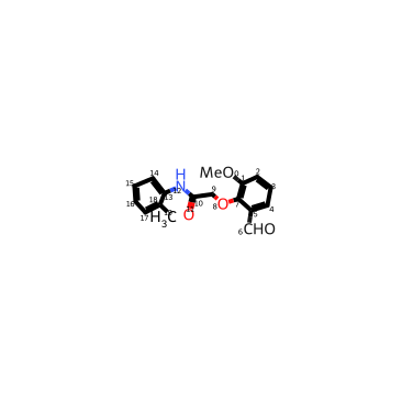 COc1cccc(C=O)c1OCC(=O)Nc1ccccc1C